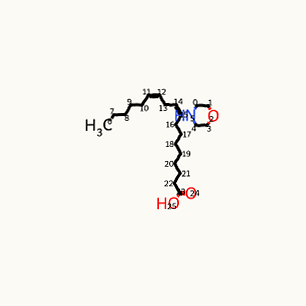 C1COCCN1.CCCCC/C=C\C/C=C\CCCCCCCC(=O)O